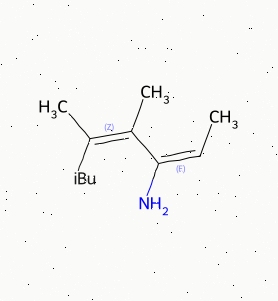 C/C=C(N)\C(C)=C(\C)C(C)CC